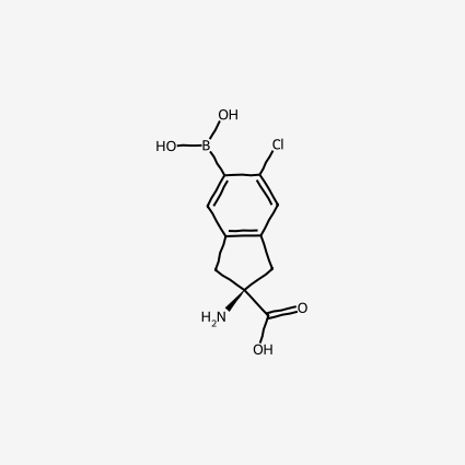 N[C@]1(C(=O)O)Cc2cc(Cl)c(B(O)O)cc2C1